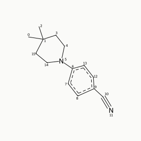 CC1(C)CCN(c2ccc(C#N)cc2)CC1